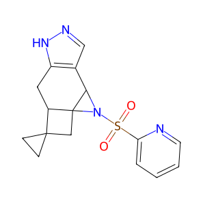 O=S(=O)(c1ccccn1)N1C2c3cn[nH]c3CC3C4(CC4)CC231